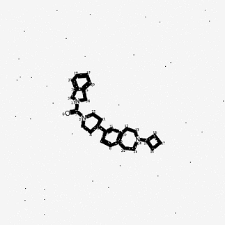 O=C(N1CCC(c2ccc3c(c2)CCN(C2CCC2)CC3)CC1)N1Cc2ccccc2C1